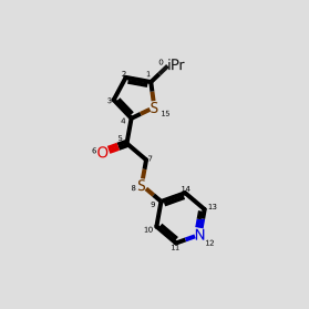 CC(C)c1ccc(C(=O)CSc2ccncc2)s1